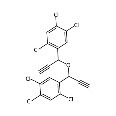 C#CC(OC(C#C)c1cc(Cl)c(Cl)cc1Cl)c1cc(Cl)c(Cl)cc1Cl